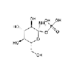 N[C@]1(OP(=O)(O)O)O[C@H](CO)[C@@H](O)[C@H](O)[C@H]1O